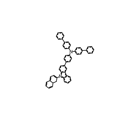 C1=CC2=CC=C(n3c4ccccc4c4cc(-c5ccc(N(c6ccc(-c7ccccc7)cc6)c6ccc(-c7ccccc7)cc6)cc5)ccc43)CC2C=C1